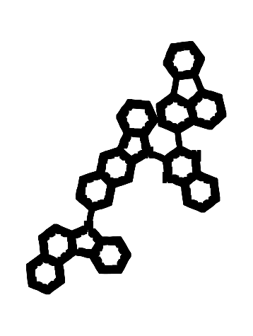 c1ccc2c(c1)-c1cccc3c(-c4nc5ccccc5nc4-n4c5ccccc5c5cc6ccc(-n7c8ccccc8c8c9ccccc9ccc87)cc6cc54)ccc-2c13